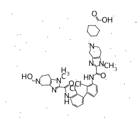 Cn1c(C(=O)Nc2cccc(-c3cccc(NC(=O)c4nc5c(n4C)CCN(C[C@H]4CC[C@@H](C(=O)O)CC4)C5)c3Cl)c2Cl)nc2c1CCN(CO)C2